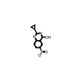 O=[N+]([O-])c1ccc2nc(C3CC3)nc(O)c2c1